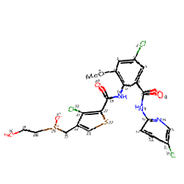 COc1cc(Cl)cc(C(=O)Nc2ccc(Cl)cn2)c1NC(=O)c1scc(C[S+]([O-])CCO)c1Cl